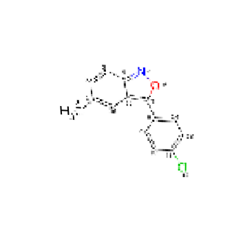 Cc1ccc2noc(-c3ccc(Cl)cc3)c2c1